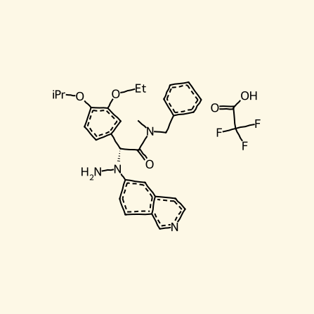 CCOc1cc([C@H](C(=O)N(C)Cc2ccccc2)N(N)c2ccc3cnccc3c2)ccc1OC(C)C.O=C(O)C(F)(F)F